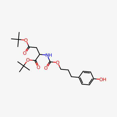 CC(C)(C)OC(=O)CC(NC(=O)OCCCc1ccc(O)cc1)C(=O)OC(C)(C)C